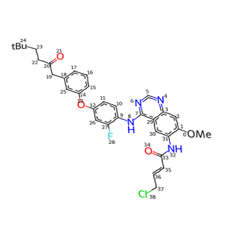 COc1cc2ncnc(Nc3ccc(Oc4cccc(CC(=O)CCC(C)(C)C)c4)cc3F)c2cc1NC(=O)/C=C/CCl